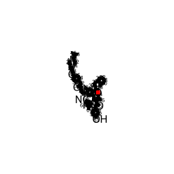 Cc1c(N(C(=O)c2cc(-c3cc4c(cc3C(=O)N3Cc5ccccc5C[C@H]3C)CN(C(=O)Cc3ccc(OCCN5CCN(C6CC6)CC5)cc3)CC4)n(C)c2C)c2ccc(O)cc2)cc(C#N)n1C